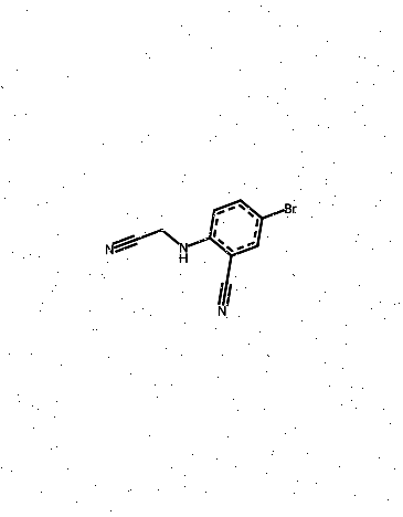 N#CCNc1ccc(Br)cc1C#N